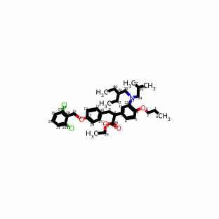 CCCOc1ccc(C(Cc2ccc(OCc3c(Cl)cccc3Cl)cc2)C(=O)OCC)cc1N(CC(C)C)CC(CC)CC